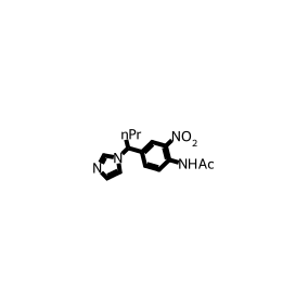 CCCC(c1ccc(NC(C)=O)c([N+](=O)[O-])c1)n1ccnc1